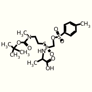 Cc1ccc(S(=O)(=O)OCP(=O)(NC(C)C(=O)O)SCCN(C)C(=O)OC(C)(C)C)cc1